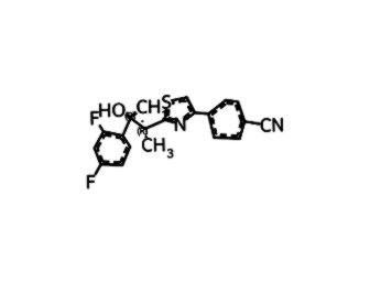 [CH2][C@](O)(c1ccc(F)cc1F)[C@@H](C)c1nc(-c2ccc(C#N)cc2)cs1